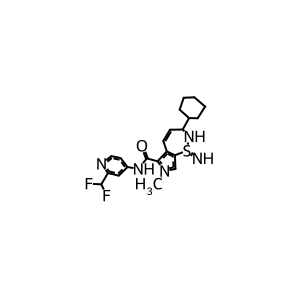 Cn1cc2c(c1C(=O)Nc1ccnc(C(F)F)c1)C=CC(C1CCCCC1)NS2=N